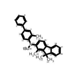 Cc1cc(-c2ccccc2)ccc1N(c1ccc2c(c1C)C(C)(C)c1ccccc1-2)C(C)(C)C